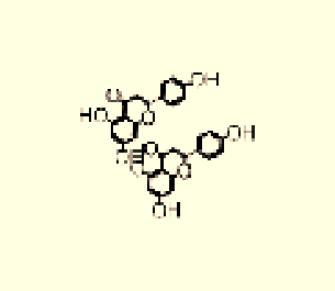 O=C1C[C@@H](c2ccc(O)cc2)Oc2cc(O)cc(O)c21.O=C1C[C@@H](c2ccc(O)cc2)Oc2cc(O)cc(O)c21